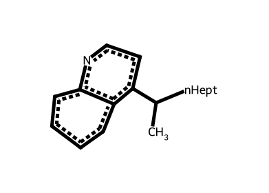 CCCCCCCC(C)c1ccnc2ccccc12